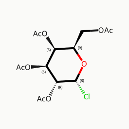 CC(=O)OC[C@H]1O[C@H](Cl)[C@H](OC(C)=O)[C@@H](OC(C)=O)[C@H]1OC(C)=O